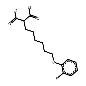 CCC(=O)C(CCCCCCOc1ccccc1F)C(=O)CC